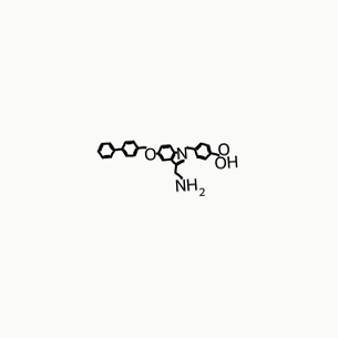 NCCc1cn(Cc2ccc(C(=O)O)cc2)c2ccc(OCc3ccc(-c4ccccc4)cc3)cc12